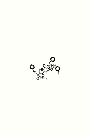 NC(=O)[C@H](C/C=C/c1ccccc1)NC(=O)C(CC1CC1)NC(=O)CP(=O)(O)C(Cc1ccccc1)NC(=O)c1cccc(F)c1